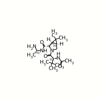 CC(=O)N[C@H](C(=O)N1C[C@H]2[C@@H]([C@H]1C(=O)N[C@@H](C)N)C2(C)C)C(C)(C)C